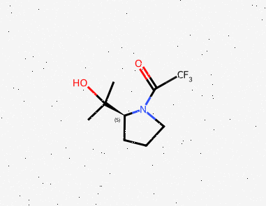 CC(C)(O)[C@@H]1CCCN1C(=O)C(F)(F)F